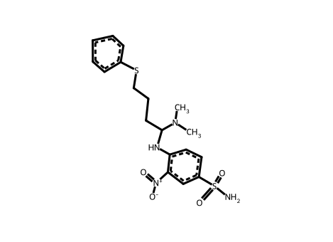 CN(C)C(CCCSc1ccccc1)Nc1ccc(S(N)(=O)=O)cc1[N+](=O)[O-]